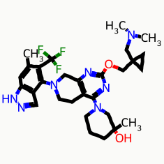 Cc1cc2[nH]ncc2c(N2CCc3c(nc(OCC4(CN(C)C)CC4)nc3N3CCCC(C)(O)C3)C2)c1C(F)(F)F